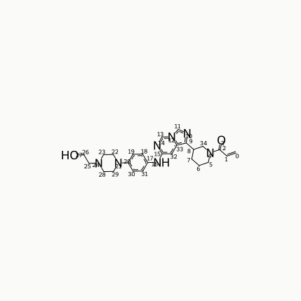 C=CC(=O)N1CCCC(c2ncn3cnc(Nc4ccc(N5CCN(CCO)CC5)cc4)cc23)C1